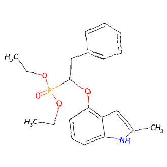 CCOP(=O)(OCC)C(Cc1ccccc1)Oc1cccc2[nH]c(C)cc12